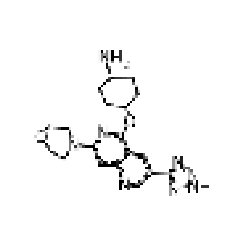 N[C@H]1CC[C@@H](Oc2nc(N3CCOCC3)cc3ncc(-c4nn[nH]n4)cc23)CC1